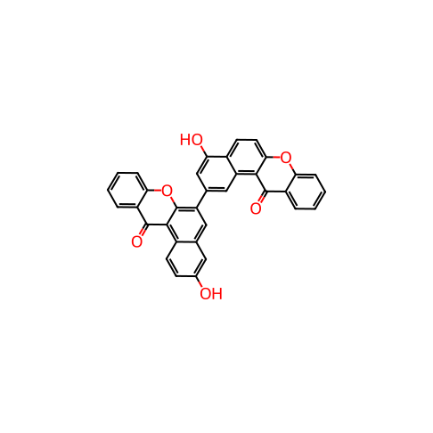 O=c1c2ccccc2oc2ccc3c(O)cc(-c4cc5cc(O)ccc5c5c(=O)c6ccccc6oc45)cc3c12